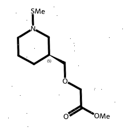 COC(=O)COC[C@H]1CCCN(SC)C1